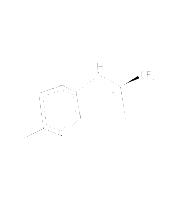 Cc1ccc(N[C@H](C)C(F)(F)F)cc1